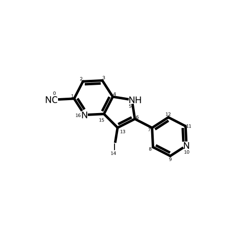 N#Cc1ccc2[nH]c(-c3ccncc3)c(I)c2n1